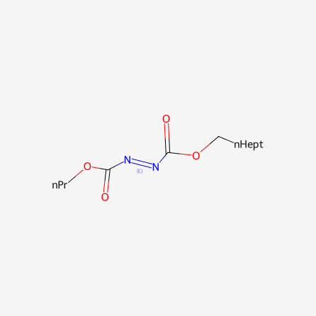 CCCCCCCCOC(=O)/N=N/C(=O)OCCC